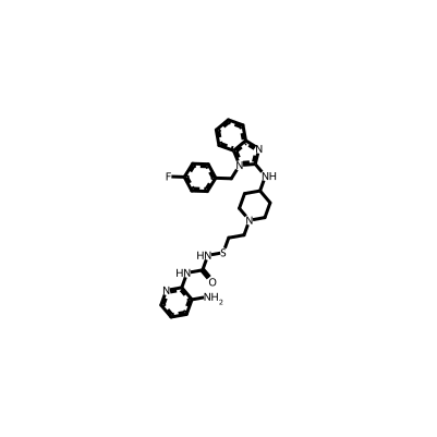 Nc1cccnc1NC(=O)NSCCN1CCC(Nc2nc3ccccc3n2Cc2ccc(F)cc2)CC1